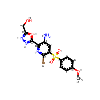 Nc1cc(S(=O)(=O)c2ccc(OC(F)(F)F)cc2)c(Br)nc1-c1nnc(CO)o1